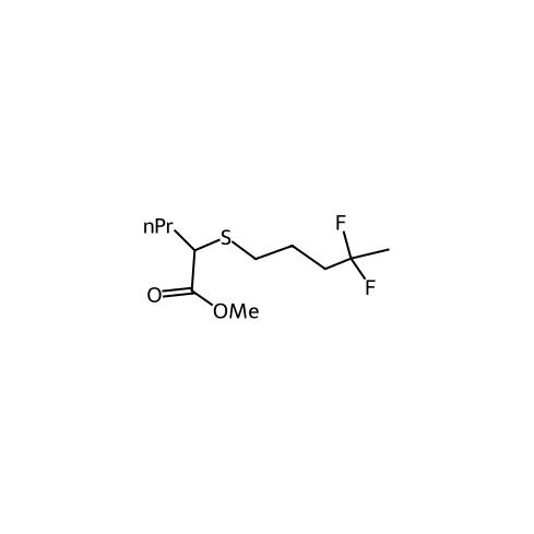 CCCC(SCCCC(C)(F)F)C(=O)OC